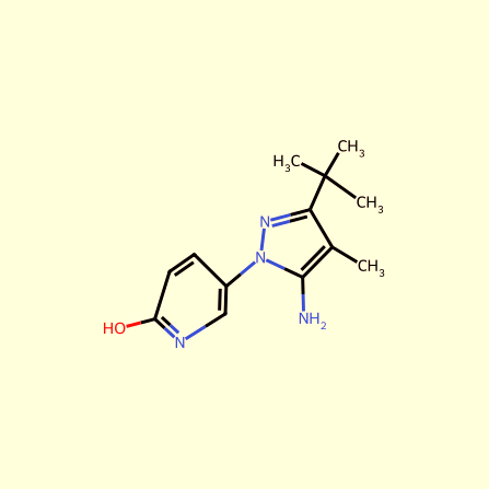 Cc1c(C(C)(C)C)nn(-c2ccc(O)nc2)c1N